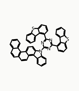 c1ccc2c(c1)ccc1ccc3c(ccc4c3c3ccccc3n4-c3nc(-c4cccc5sc6ccccc6c45)nc(-c4cccc5sc6ccccc6c45)n3)c12